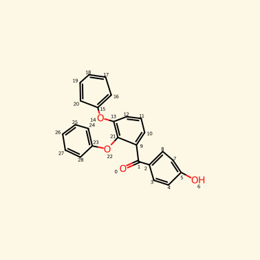 O=C(c1ccc(O)cc1)c1cccc(Oc2ccccc2)c1Oc1ccccc1